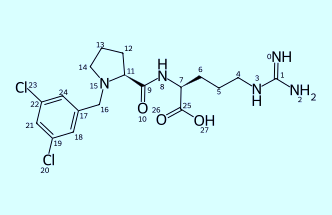 N=C(N)NCCC[C@H](NC(=O)[C@@H]1CCCN1Cc1cc(Cl)cc(Cl)c1)C(=O)O